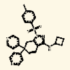 Cc1ccc(S(=O)(=O)n2nc(NC3CCC3)c3c2CC(c2ccncc2)(c2ccncc2)C=C3)cc1